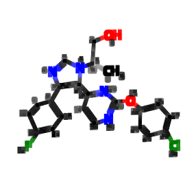 C[C@@H](CO)n1cnc(-c2ccc(F)cc2)c1-c1ccnc(Oc2ccc(Cl)cc2)n1